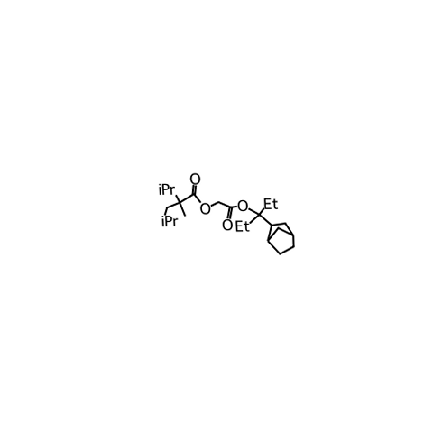 CCC(CC)(OC(=O)COC(=O)C(C)(CC(C)C)C(C)C)C1CC2CCC1C2